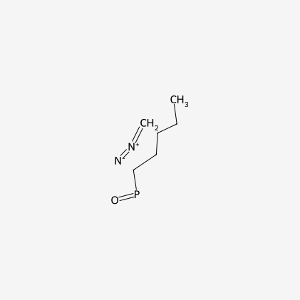 C=[N+]=[N-].CCCCCP=O